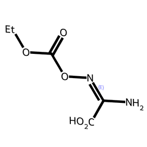 CCOC(=O)O/N=C(/N)C(=O)O